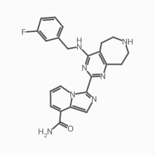 NC(=O)c1cccn2c(-c3nc4c(c(NCc5cccc(F)c5)n3)CCNCC4)ncc12